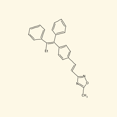 CCC(=C(c1ccccc1)c1ccc(C=Cc2noc(C)n2)cc1)c1ccccc1